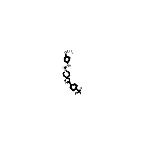 COc1ccc(NC(=O)N2CCC3(CC2)CC(c2ccc(C(F)(F)F)cc2)=NO3)cc1